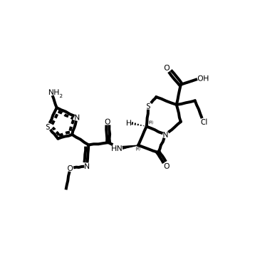 CON=C(C(=O)N[C@@H]1C(=O)N2CC(CCl)(C(=O)O)CS[C@H]12)c1csc(N)n1